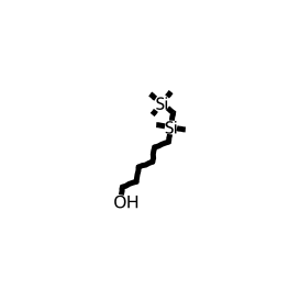 C[Si](C)(C)C[Si](C)(C)CCCCCCO